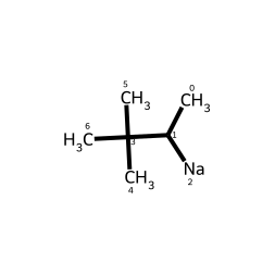 C[CH]([Na])C(C)(C)C